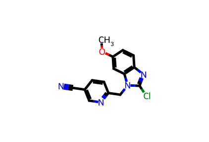 COc1ccc2nc(Cl)n(Cc3ccc(C#N)cn3)c2c1